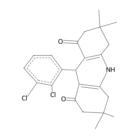 CC1(C)CC(=O)C2=C(C1)NC1=C(C(=O)CC(C)(C)C1)C2c1cccc(Cl)c1Cl